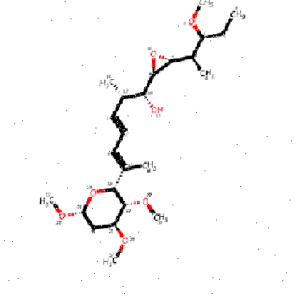 CC[C@H](OC)[C@@H](C)[C@H]1O[C@@H]1[C@H](O)[C@@H](C)/C=C/C=C(\C)[C@H]1O[C@@H](OC)C[C@H](OC)[C@H]1OC